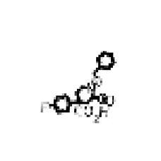 O=C=C1CC(C(=O)O)(c2ccc(F)cc2)CCN1OCc1ccccc1